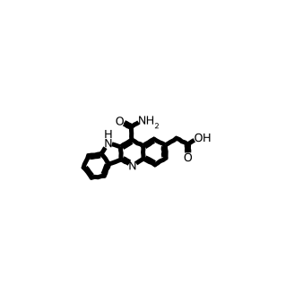 NC(=O)c1c2cc(CC(=O)O)ccc2nc2c1[nH]c1ccccc12